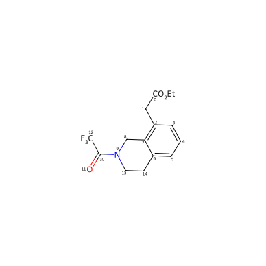 CCOC(=O)Cc1cccc2c1CN(C(=O)C(F)(F)F)CC2